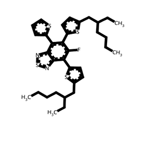 CCCCC(CC)Cc1ccc(-c2c(F)c(-c3ccc(CC(CC)CCCC)s3)c3nsnc3c2-c2cccs2)s1